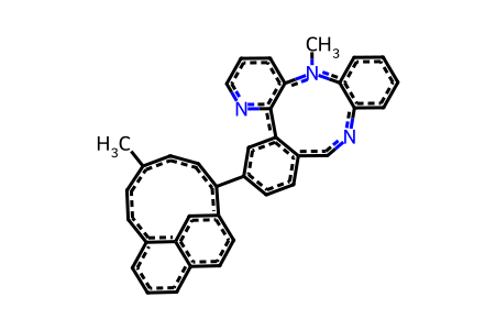 Cc1ccc(-c2ccc3cnc4ccccc4n(C)c4cccnc4c3c2)c2ccc3cccc(cc1)c3c2